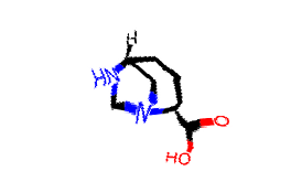 O=C(O)[C@@H]1CC[C@@H]2CN1CN2